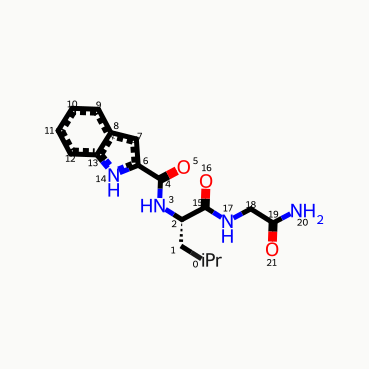 CC(C)C[C@H](NC(=O)c1cc2ccccc2[nH]1)C(=O)NCC(N)=O